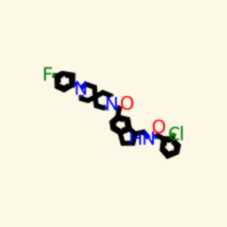 O=C(NCC1CCc2ccc(C(=O)N3CCC4(CC3)CCN(c3ccc(F)cc3)CC4)cc21)c1ccccc1Cl